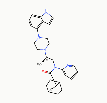 C[C@H](CN(C(=O)C1CC2CCC1CC2)c1ccccn1)N1CCN(c2cccc3[nH]ccc23)CC1